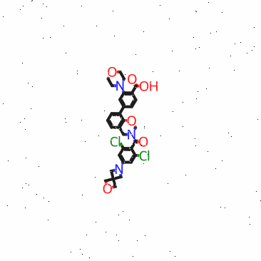 O=C(O)c1ccc(-c2cccc3c2OCN(C(=O)c2c(Cl)cc(N4CC5(COC5)C4)cc2Cl)C3)cc1N1CCOCC1